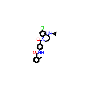 Cc1ccccc1C(=O)Nc1ccc(C(=O)N2CCCC(NC3CC3)c3cc(Cl)ccc32)cc1